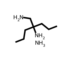 CCCC(N)(CN)CCC.N